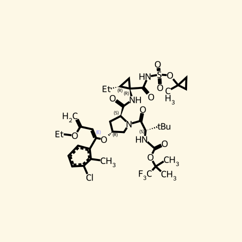 C=C(/C=C(/O[C@@H]1C[C@@H](C(=O)N[C@]2(C(=O)NS(=O)(=O)OC3(C)CC3)C[C@H]2CC)N(C(=O)[C@@H](NC(=O)OC(C)(C)C(F)(F)F)C(C)(C)C)C1)c1cccc(Cl)c1C)OCC